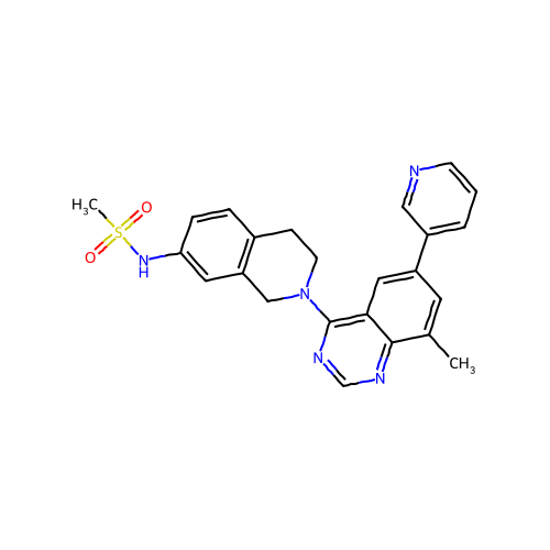 Cc1cc(-c2cccnc2)cc2c(N3CCc4ccc(NS(C)(=O)=O)cc4C3)ncnc12